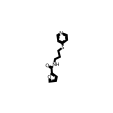 O=C(NCCCSc1ccncc1)c1ccco1